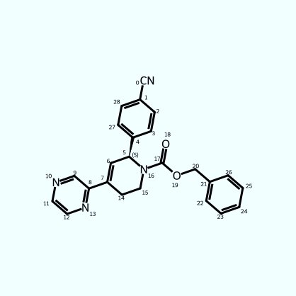 N#Cc1ccc([C@@H]2C=C(c3cnccn3)CCN2C(=O)OCc2ccccc2)cc1